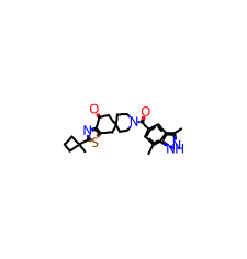 Cc1n[nH]c2c(C)cc(C(=O)N3CCC4(CC3)CC(=O)c3nc(C5(C)CCC5)sc3C4)cc12